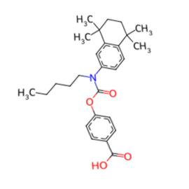 CCCCCN(C(=O)Oc1ccc(C(=O)O)cc1)c1ccc2c(c1)C(C)(C)CCC2(C)C